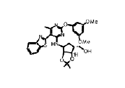 COc1cc(OC)cc(Oc2nc(C)c(-c3nc4ccccc4s3)c(NC3C[C@H](CO)[C@H]4OC(C)(C)OC34)n2)c1